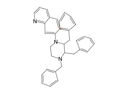 [c]1cc2cccnc2cc1N1CCN(Cc2ccccc2)C(Cc2ccccc2)C1Cc1ccccc1